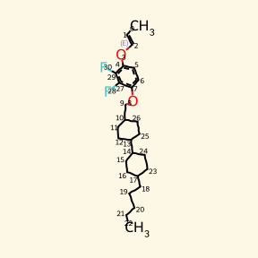 C/C=C/Oc1ccc(OCC2CCC(C3CCC(CCCCC)CC3)CC2)c(F)c1F